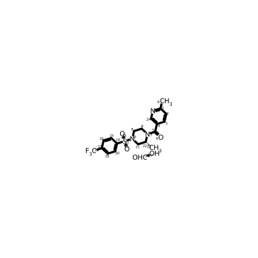 Cc1ccc(C(=O)N2CCN(S(=O)(=O)c3ccc(C(F)(F)F)cc3)C[C@H]2C)cn1.O=CO